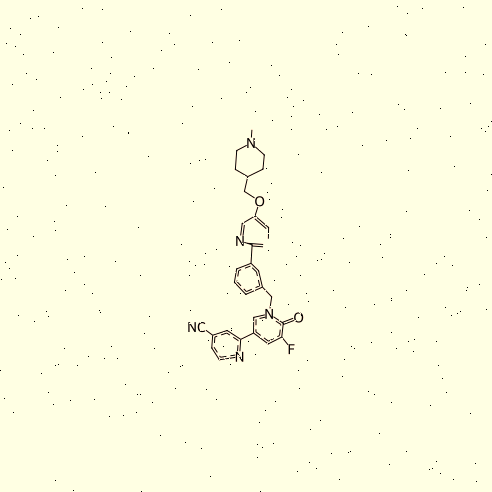 C=C(/N=C\C(=C/C)OCC1CCN(C)CC1)c1cccc(Cn2cc(-c3cc(C#N)ccn3)cc(F)c2=O)c1